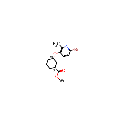 CC(C)OC(=O)[C@H]1CCC[C@H](Oc2ccc(Br)nc2C(F)(F)F)C1